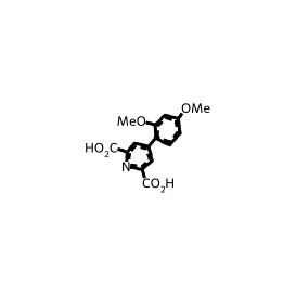 COc1ccc(-c2cc(C(=O)O)nc(C(=O)O)c2)c(OC)c1